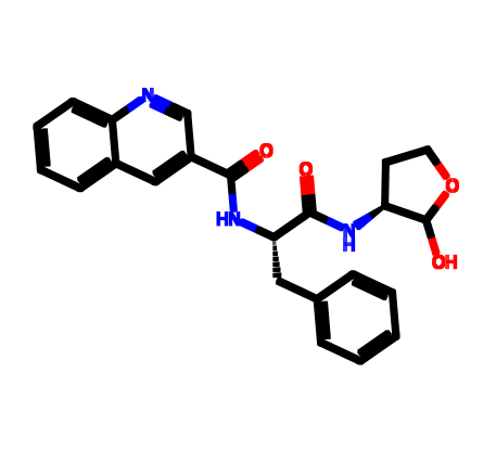 O=C(N[C@@H](Cc1ccccc1)C(=O)N[C@H]1CCOC1O)c1cnc2ccccc2c1